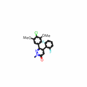 COc1cc(-c2nn(C)c(=O)cc2-c2c(F)cccc2F)cc(OC)c1Cl